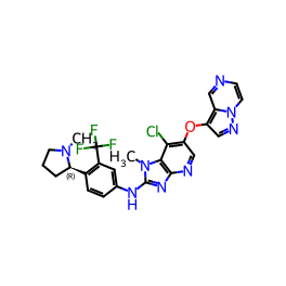 CN1CCC[C@@H]1c1ccc(Nc2nc3ncc(Oc4cnn5ccncc45)c(Cl)c3n2C)cc1C(F)(F)F